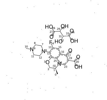 C[C@H]1COc2c(N3CCN(C)CC3)c(F)cc3c(=O)c(C(=O)O)cn1c23.O=C(O)C(O)C(O)C(=O)O